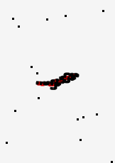 CCCCCCCCCSc1ccc(-c2ccc(SCc3ccc(CC)cc3)cc2)cc1